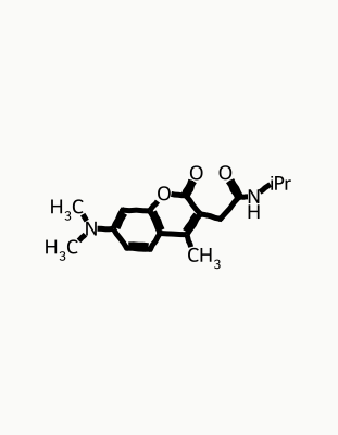 Cc1c(CC(=O)NC(C)C)c(=O)oc2cc(N(C)C)ccc12